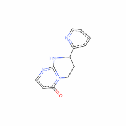 O=c1ccnc2n1CCC(c1ccccn1)N2